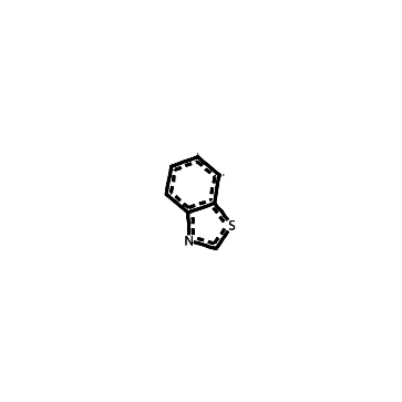 [c]1[c]c2scnc2cc1